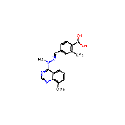 COc1cc(/C=N/N(C)c2ncnc3c(OC)cccc23)ccc1B(O)O